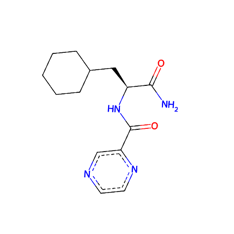 NC(=O)[C@H](CC1CCCCC1)NC(=O)c1cnccn1